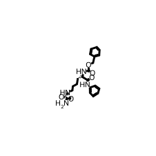 NS(=O)(=O)NCCCC[C@H](NC(=O)OCc1ccccc1)C(=O)Nc1ccccc1